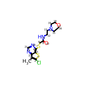 Cc1c(Cl)sc2c(SCC(=O)NCCN3CCOCC3)ncnc12